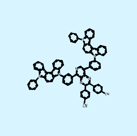 N#Cc1ccc(-c2nc3c(-c4cccc(-n5c6ccccc6c6c7c8ccccc8n(-c8ccccc8)c7ccc65)c4)cnc(-c4cccc(-n5c6ccccc6c6c7c8ccccc8n(-c8ccccc8)c7ccc65)c4)c3nc2-c2ccc(C#N)cc2)cc1